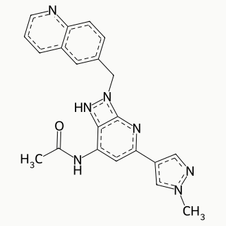 CC(=O)Nc1cc(-c2cnn(C)c2)nc2c1[nH]n2Cc1ccc2ncccc2c1